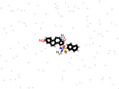 CN(C[C@H]1CC(=O)[C@@]2(C)CCC3c4ccc(O)cc4CCC3C12)S(=O)(=O)c1ccc2ccccc2c1